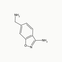 NCc1ccc2c(N)noc2c1